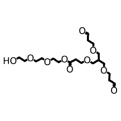 O=CCCOCC(COCCC=O)COCCC(=O)OCCOCCOCCO